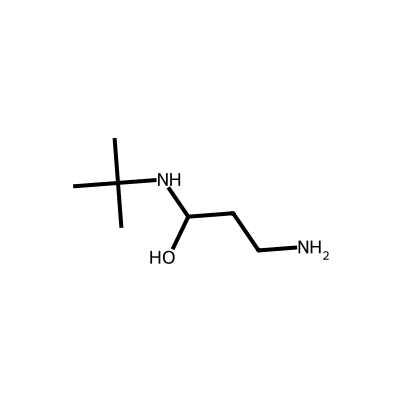 CC(C)(C)NC(O)CCN